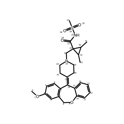 COc1ccc2c(c1)COc1ccccc1C2=C1CCN(CC2(C(=O)NS(C)(=O)=O)C(C)C2C)CC1